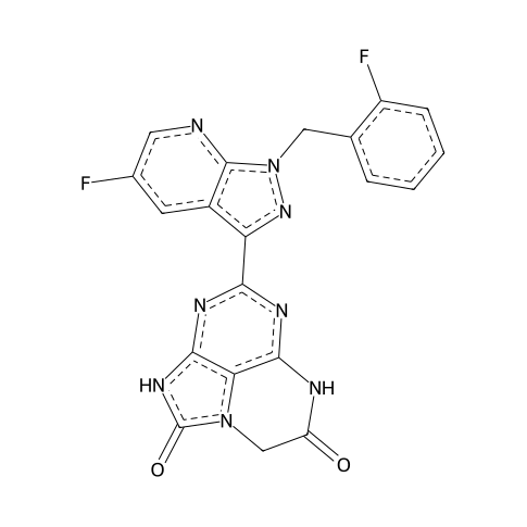 O=C1Cn2c(=O)[nH]c3nc(-c4nn(Cc5ccccc5F)c5ncc(F)cc45)nc(c32)N1